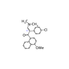 COc1ccc(C(=O)/C(=C/N(C)C)c2ccc(Cl)cc2)c2ccccc12